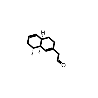 C[C@@H]1CC=C[C@H]2CCC(CC=O)=C[C@@]12C